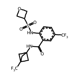 O=C(NC12CC(C(F)(F)F)(C1)C2)c1cc(C(F)(F)F)ccc1NS(=O)(=O)C1COC1